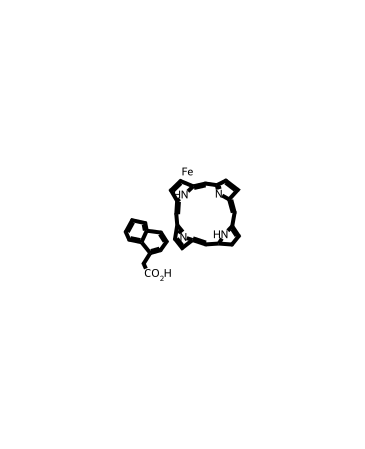 C1=CC2=NC1=CC1=CCC(C=C3C=CC(=N3)C=c3ccc([nH]3)=C2)N1.O=C(O)Cc1cccc2ccccc12.[Fe]